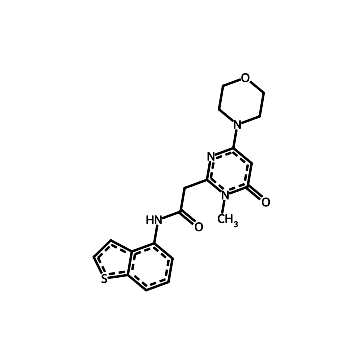 Cn1c(CC(=O)Nc2cccc3sccc23)nc(N2CCOCC2)cc1=O